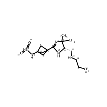 CC1(C)N=C(C23CC(N[SH](=O)=O)(C2)C3)N[C@H]1CNCCC(F)(F)F